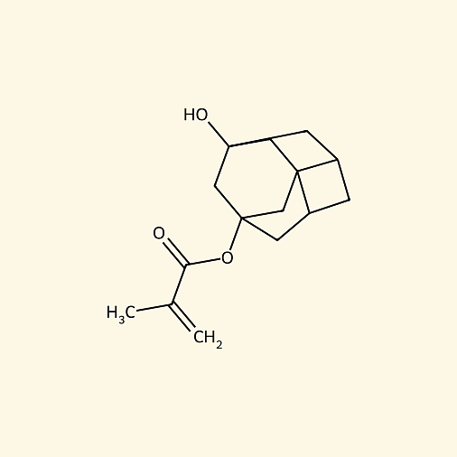 C=C(C)C(=O)OC12CC3CC4CC(O)(C1)CC43C2